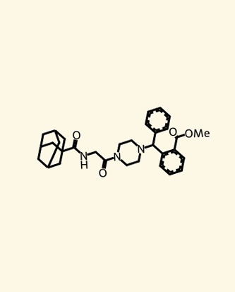 COC(=O)c1ccccc1C(c1ccccc1)N1CCN(C(=O)CNC(=O)C23CC4CC(CC(C4)C2)C3)CC1